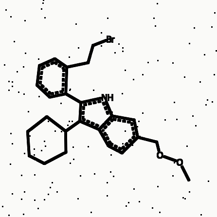 COOCc1ccc2c(C3CCCCC3)c(-c3ccccc3CCBr)[nH]c2c1